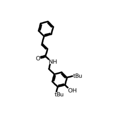 CC(C)(C)c1cc(CNC(=O)C=Cc2ccccc2)cc(C(C)(C)C)c1O